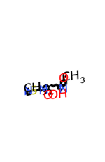 COc1ccc2nccc(CCC[C@@H]3CCN(CCCSc4cccn4C)C[C@@H]3CC(=O)O)c2c1